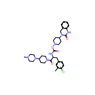 Cc1cc(CC(NC(=O)ON2CCC(N3Cc4ccccc4NC3=O)CC2)C(=O)N2CCC(N3CCN(C)CC3)CC2)ccc1Cl